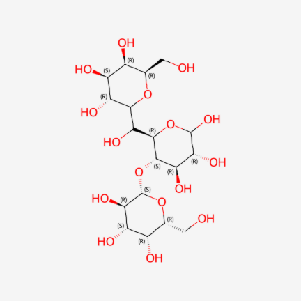 OC[C@H]1O[C@@H](O[C@H]2[C@H](O)[C@@H](O)C(O)O[C@@H]2C(O)C2O[C@H](CO)[C@H](O)[C@H](O)[C@H]2O)[C@H](O)[C@@H](O)[C@H]1O